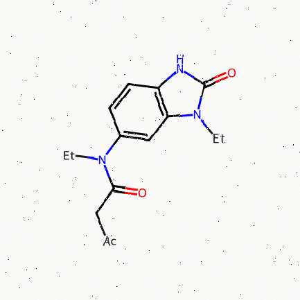 CCN(C(=O)CC(C)=O)c1ccc2[nH]c(=O)n(CC)c2c1